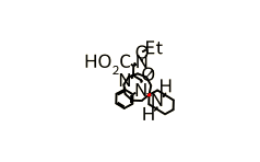 CCO/N=C(\C(=O)O)c1nc2ccccc2n([C@H]2C[C@H]3CCC[C@@H](C2)N3[C@@H]2CCCCCC[C@@H](C)C2)c1=O